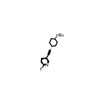 CCCC[C@H]1CC[C@H](C#Cc2ccc(F)nc2)CC1